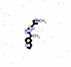 C[C@H](c1ccc2ncccc2c1)c1nnc2sc(-c3cnn(C)c3)nn12